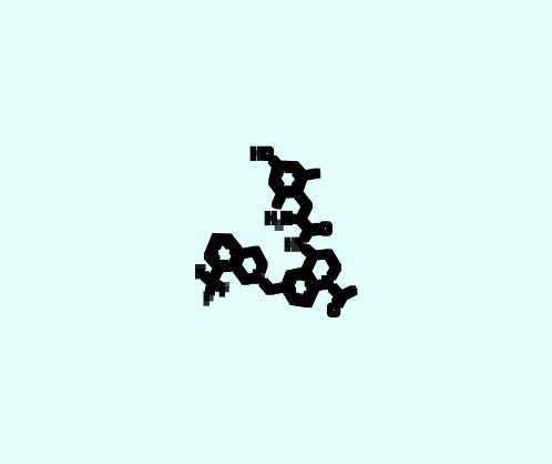 CC(=O)N1CCC(NC(=O)C(N)Cc2c(C)cc(O)cc2C)c2cc(CN3CCc4cccc(C(F)(F)F)c4C3)ccc21